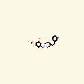 COc1cc(C(=O)N2CCC3(CC2)CC(=O)c2cc(F)ccc2O3)ccc1OC(C)C